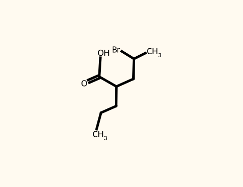 CCCC(CC(C)Br)C(=O)O